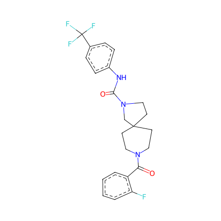 O=C(Nc1ccc(C(F)(F)F)cc1)N1CCC2(CCN(C(=O)c3ccccc3F)CC2)C1